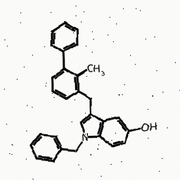 Cc1c(Cc2cn(Cc3ccccc3)c3ccc(O)cc23)cccc1-c1ccccc1